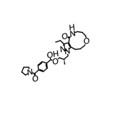 CCc1nn(C[C@@H](C)COC(O)c2ccc(C(=O)N3CCCC3)cc2)c2c1C(=O)NCCCOCCC2